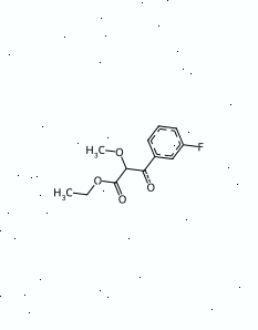 CCOC(=O)C(OC)C(=O)c1cccc(F)c1